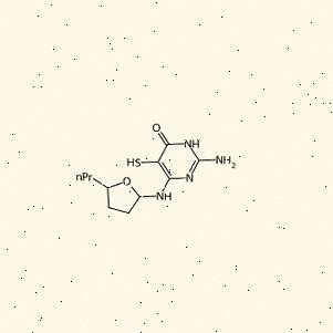 CCCC1CCC(Nc2nc(N)[nH]c(=O)c2S)O1